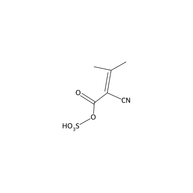 CC(C)=C(C#N)C(=O)OS(=O)(=O)O